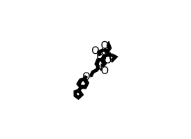 O=C(O)c1occc1C1(Cc2ccn(CCCOc3ccc(C4CCCC4)cc3)c(=O)c2)CCCO1